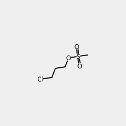 CS(=O)(=O)OCCCCl